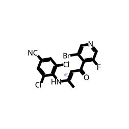 C/C(=C\C(=O)c1c(F)cncc1Br)Nc1c(Cl)cc(C#N)cc1Cl